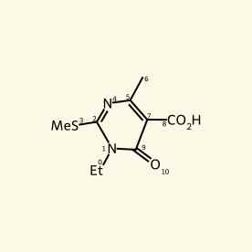 CCn1c(SC)nc(C)c(C(=O)O)c1=O